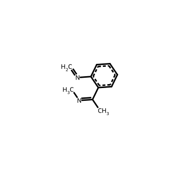 C=Nc1ccccc1/C(C)=N\C